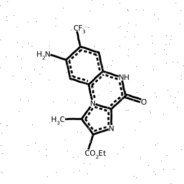 CCOC(=O)c1nc2c(=O)[nH]c3cc(C(F)(F)F)c(N)cc3n2c1C